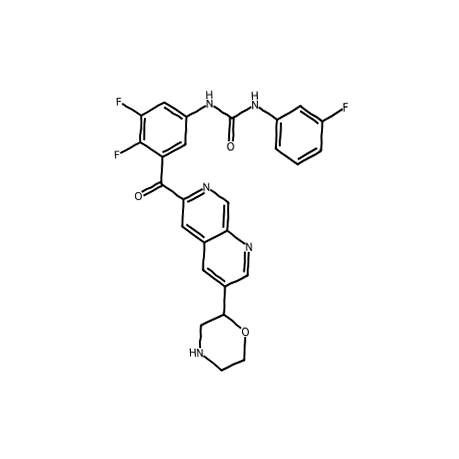 O=C(Nc1cccc(F)c1)Nc1cc(F)c(F)c(C(=O)c2cc3cc(C4CNCCO4)cnc3cn2)c1